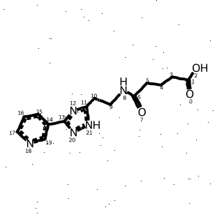 O=C(O)CCCC(=O)NCCc1nc(-c2cccnc2)n[nH]1